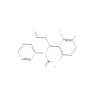 O=CCC(c1c(Cl)ccc(Cl)c1F)N(C(=O)O)c1ccccc1